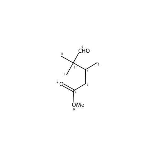 COC(=O)CC(C)C(C)(C)C=O